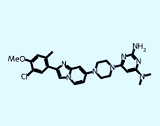 COc1cc(C)c(-c2cn3ccc(N4CCN(c5cc(N(C)C)nc(N)n5)CC4)cc3n2)cc1Cl